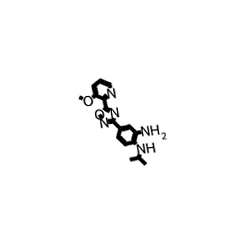 COc1cccnc1-c1nc(-c2ccc(NC(C)C)c(N)c2)no1